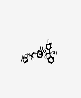 O=C(C[N+]12CCC(CC1)[C@@H](OC(=O)C(O)(c1ccccc1)C1CCC(F)(F)C1)C2)Nc1ccon1